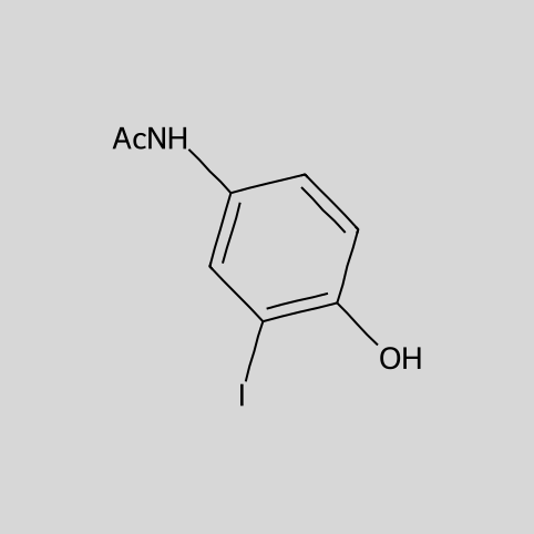 CC(=O)Nc1ccc(O)c(I)c1